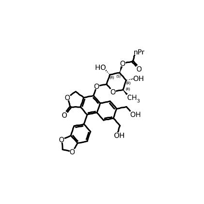 CCCC(=O)O[C@H]1[C@H](O)[C@@H](C)OC(Oc2c3c(c(-c4ccc5c(c4)OCO5)c4cc(CO)c(CO)cc24)C(=O)OC3)[C@@H]1O